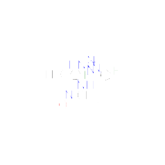 Cc1cc(Nc2ncn(-c3cc(F)cc(F)c3)n2)c(F)c(NC(C)CN2CCOCC2)c1